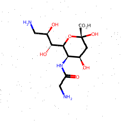 NCC(=O)N[C@H]1C([C@H](O)[C@H](O)CN)O[C@@](O)(C(=O)O)C[C@H]1O